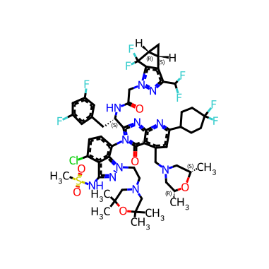 C[C@@H]1CN(Cc2cc(C3CCC(F)(F)CC3)nc3nc([C@H](Cc4cc(F)cc(F)c4)NC(=O)Cn4nc(C(F)F)c5c4C(F)(F)[C@@H]4C[C@H]54)n(-c4ccc(Cl)c5c(NS(C)(=O)=O)nn(CCN6CC(C)(C)OC(C)(C)C6)c45)c(=O)c23)C[C@H](C)O1